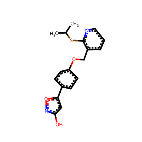 CC(C)Sc1ncccc1COc1ccc(-c2cc(O)no2)cc1